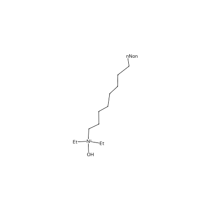 CCCCCCCCCCCCCCCCC[N+](O)(CC)CC